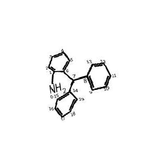 Nc1ccccc1[C](c1ccccc1)c1ccccc1